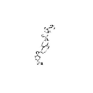 O=C(Cc1csc(C(F)(F)F)n1)N1CCc2c(cccc2Oc2ccc(C(F)(F)F)cc2)C1